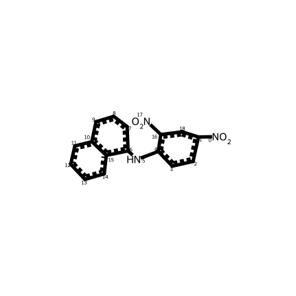 O=[N+]([O-])c1ccc(Nc2cccc3ccccc23)c([N+](=O)[O-])c1